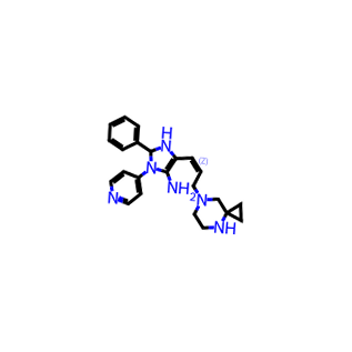 NC1=C(/C=C\CN2CCNC3(CC3)C2)NC(c2ccccc2)N1c1ccncc1